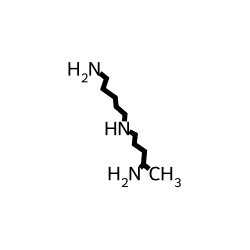 CC(N)CCCNCCCCCN